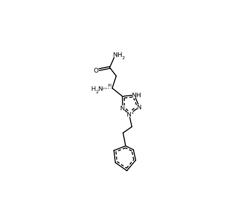 NC(=O)C[C@@H](N)c1n[n+](CCc2ccccc2)n[nH]1